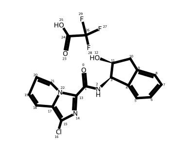 O=C(N[C@@H]1c2ccccc2C[C@@H]1O)c1nc(Cl)c2ccccn12.O=C(O)C(F)(F)F